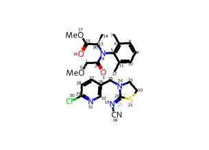 COCC(=O)N(c1c(C)cccc1C)[C@H](C)C(=O)OC.N#C/N=C1\SCCN1Cc1ccc(Cl)nc1